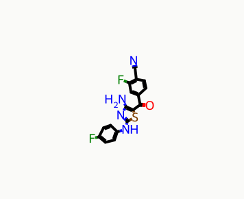 N#Cc1ccc(C(=O)c2sc(Nc3ccc(F)cc3)nc2N)cc1F